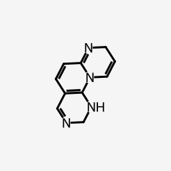 C1=CN2C(=NC1)C=CC1=C2NCN=C1